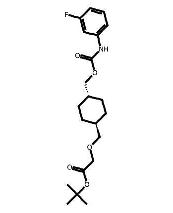 CC(C)(C)OC(=O)COC[C@H]1CC[C@H](COC(=O)Nc2cccc(F)c2)CC1